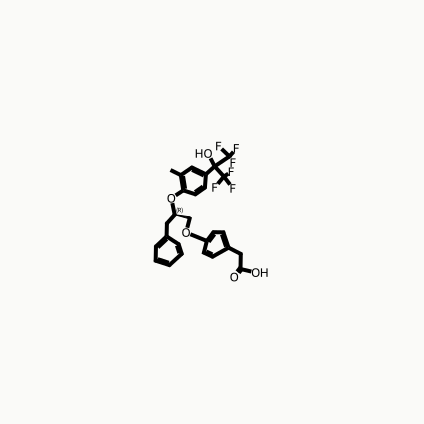 Cc1cc(C(O)(C(F)(F)F)C(F)(F)F)ccc1O[C@@H](COc1ccc(CC(=O)O)cc1)Cc1ccccc1